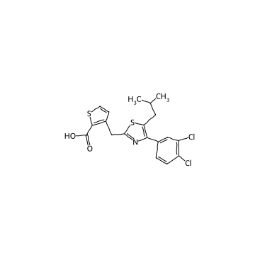 CC(C)Cc1sc(Cc2ccsc2C(=O)O)nc1-c1ccc(Cl)c(Cl)c1